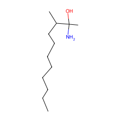 CCCCCCCCC(C)C(C)(N)O